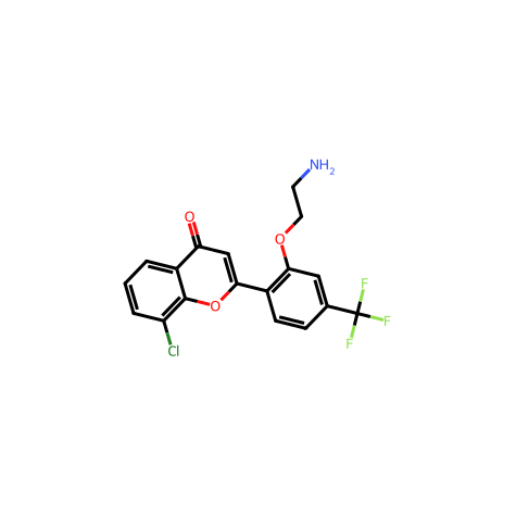 NCCOc1cc(C(F)(F)F)ccc1-c1cc(=O)c2cccc(Cl)c2o1